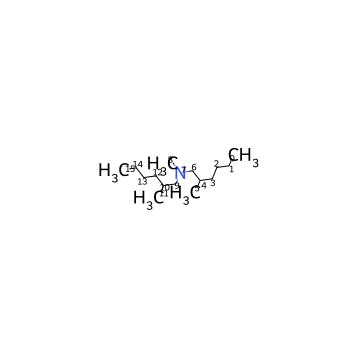 CCCCC(C)CN(C)CC(C)CCCC